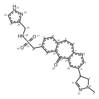 CN1CC(c2cnc3ccc4ccc(CS(=O)(=O)NCc5cc[nH]n5)cc4c(=O)c3c2)C=N1